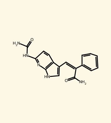 NC(=O)Nc1ccc2c(C=C(C(N)=O)c3ccccc3)c[nH]c2n1